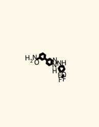 NC(=O)c1cccc(-c2ccc3[nH]c(Nc4ccc(OC(F)(F)F)cc4)nc3c2)c1